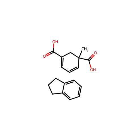 CC1(C(=O)O)C=CC=C(C(=O)O)C1.c1ccc2c(c1)CCC2